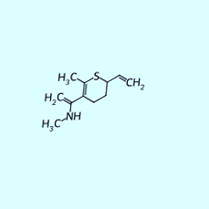 C=CC1CCC(C(=C)NC)=C(C)S1